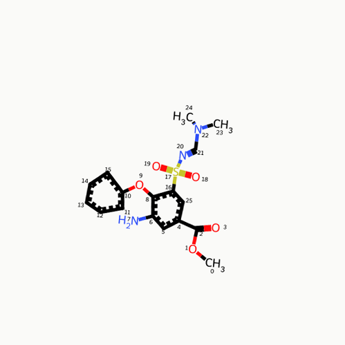 COC(=O)c1cc(N)c(Oc2ccccc2)c(S(=O)(=O)N=CN(C)C)c1